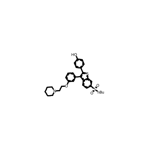 CCCCS(=O)(=O)c1ccc2c(-c3[c]ccc(OCCN4CCCCC4)c3)c(-c3ccc(O)cc3)sc2c1